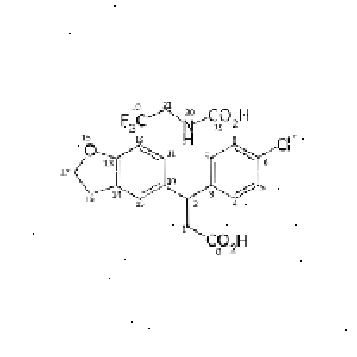 O=C(O)CC(c1ccc(Cl)cc1)c1ccc2c(c1)CCO2.O=C(O)NCC(F)(F)F